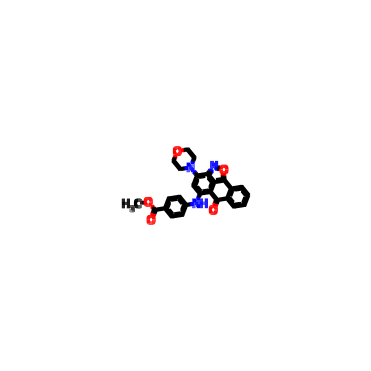 COC(=O)c1ccc(Nc2cc(N3CCOCC3)c3noc4c3c2C(=O)c2ccccc2-4)cc1